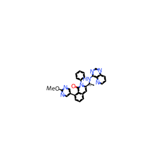 COc1ncc(-c2cccc3cc([C@H](C)Nc4ncnc5cccnc45)n(-c4ccccc4)c(=O)c23)cn1